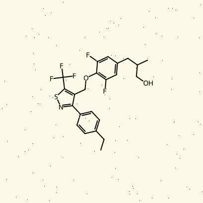 CCc1ccc(-c2nsc(C(F)(F)F)c2COc2c(F)cc(CC(C)CO)cc2F)cc1